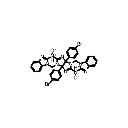 [O-][NH+]1C2=NC3(c4ccc(Br)cc4)N4Cn5c(nc6ccccc65)[NH+]([O-])C4=NC3(c3ccc(Br)cc3)N2Cn2c1nc1ccccc12